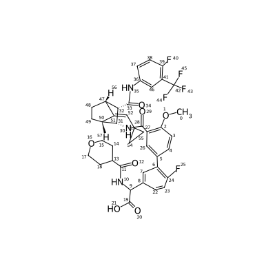 COc1ccc(-c2cc(C(NC(=O)C3CCOCC3)C(=O)O)ccc2F)cc1C(=O)N[C@H]1[C@@H](C(=O)Nc2ccc(F)c(C(F)(F)F)c2)[C@H]2CC[C@@H]1/C2=C\C1CC1